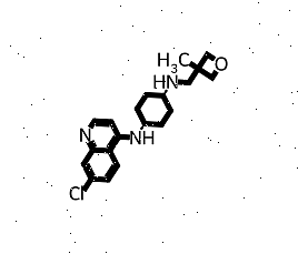 CC1(CN[C@H]2CC[C@@H](Nc3ccnc4cc(Cl)ccc34)CC2)COC1